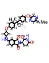 CNc1cnc(Oc2ccc(C(C)(C)c3ccc(O[C@H]4C[C@H](Nc5ccc6c(c5)C(=O)N(C5CCC(=O)NC5=O)C6=O)C4)cc3)cc2)cn1